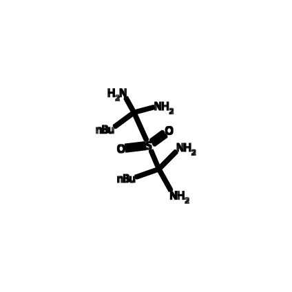 CCCCC(N)(N)S(=O)(=O)C(N)(N)CCCC